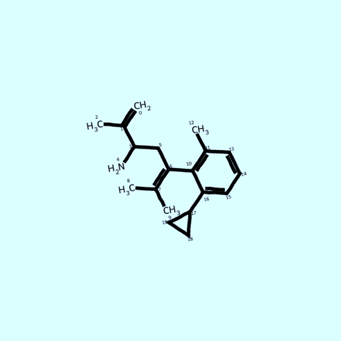 C=C(C)C(N)CC(=C(C)C)c1c(C)cccc1C1CC1